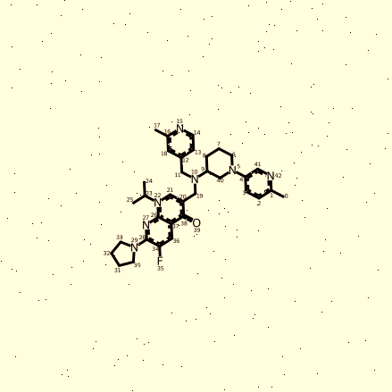 Cc1ccc(N2CCCC(N(Cc3ccnc(C)c3)Cc3cn(C(C)C)c4nc(N5CCCC5)c(F)cc4c3=O)C2)cn1